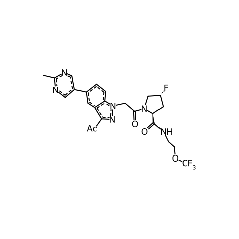 CC(=O)c1nn(CC(=O)N2C[C@H](F)C[C@H]2C(=O)NCCOC(F)(F)F)c2ccc(-c3cnc(C)nc3)cc12